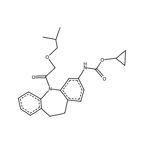 CC(C)COCC(=O)N1c2ccccc2CCc2ccc(NC(=O)OC3CC3)cc21